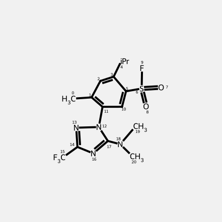 Cc1cc(C(C)C)c(S(=O)(=O)F)cc1-n1nc(C(F)(F)F)nc1N(C)C